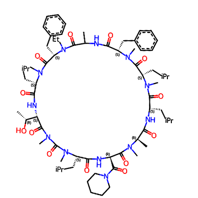 CCN1C(=O)C(C)NC(=O)[C@H](Cc2ccccc2)N(C)C(=O)[C@H](CC(C)C)N(C)C(=O)[C@H](CC(C)C)NC(=O)[C@@H](C)N(C)C(=O)[C@@H](C(=O)N2CCCCC2)NC(=O)[C@H](CC(C)C)N(C)C(=O)N(C)C(=O)[C@H]([C@@H](C)O)NC(=O)[C@H](CC(C)C)N(C)C(=O)[C@@H]1Cc1ccccc1